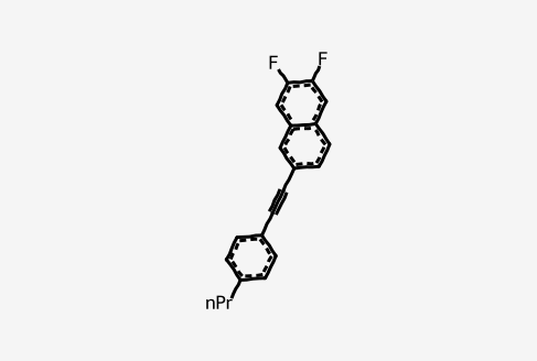 CCCc1ccc(C#Cc2ccc3cc(F)c(F)cc3c2)cc1